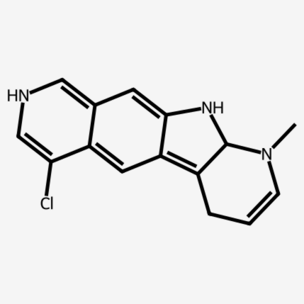 CN1C=CCC2=c3cc4c(cc3NC21)=CNC=C4Cl